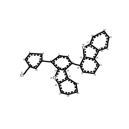 Clc1cccc(-c2ccc(-c3cccc4c3oc3ccccc34)c3c2oc2ccccc23)c1